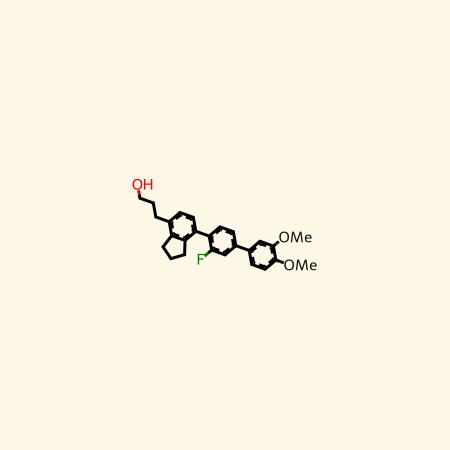 COc1ccc(-c2ccc(-c3ccc(CCCO)c4c3CCC4)c(F)c2)cc1OC